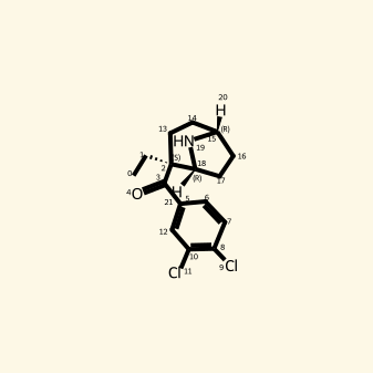 CC[C@]1(C(=O)c2ccc(Cl)c(Cl)c2)CC[C@@H]2CC[C@H]1N2